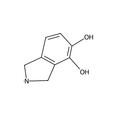 Oc1ccc2c(c1O)C[N]C2